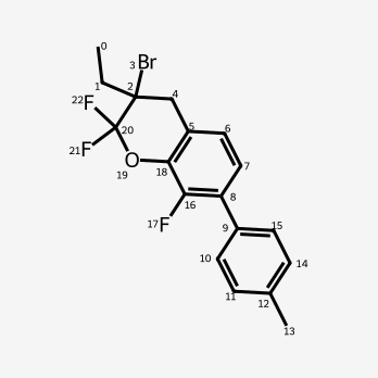 CCC1(Br)Cc2ccc(-c3ccc(C)cc3)c(F)c2OC1(F)F